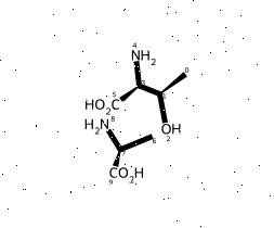 C[C@@H](O)[C@H](N)C(=O)O.C[C@H](N)C(=O)O